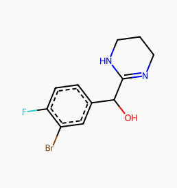 OC(C1=NCCCN1)c1ccc(F)c(Br)c1